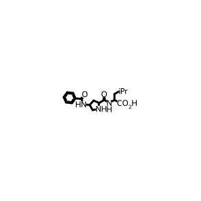 CC(C)CC(NC(=O)C1CC(NC(=O)c2ccccc2)CN1)C(=O)O